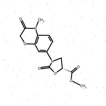 COC(=O)[C@H]1CN(c2ccc3c(c2)OCC(=O)N3C)C(=O)O1